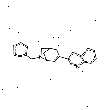 C1=C(c2cnc3ccccc3c2)CC2CC1N(Cc1ccccc1)C2